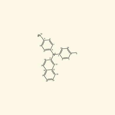 Cc1ccc(N(c2ccc(C(C)C)cc2)c2ccc3ccccc3c2)cc1